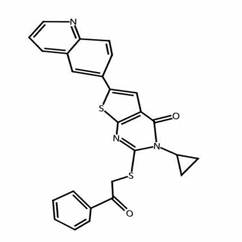 O=C(CSc1nc2sc(-c3ccc4ncccc4c3)cc2c(=O)n1C1CC1)c1ccccc1